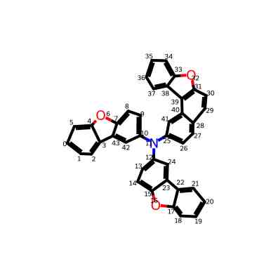 c1ccc2c(c1)oc1ccc(N(c3ccc4oc5ccccc5c4c3)c3ccc4ccc5oc6ccccc6c5c4c3)cc12